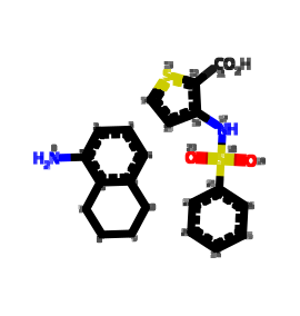 Nc1cccc2c1CCCC2.O=C(O)c1sccc1NS(=O)(=O)c1ccccc1